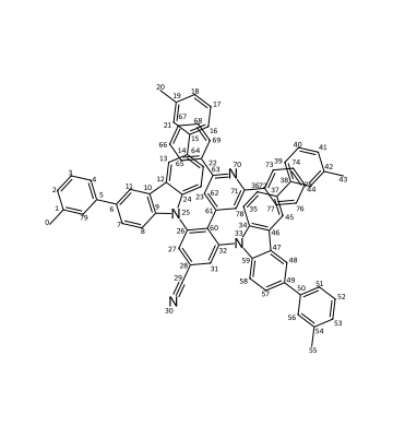 Cc1cccc(-c2ccc3c(c2)c2cc(-c4cccc(C)c4)ccc2n3-c2cc(C#N)cc(-n3c4ccc(-c5cccc(C)c5)cc4c4cc(-c5cccc(C)c5)ccc43)c2-c2cc(-c3ccccc3)nc(-c3ccccc3)c2)c1